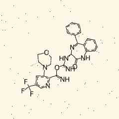 C[C@@H]1COCCN1c1cc(C(F)(F)F)cnc1C(=N)OC(=N)N[C@H]1N=C(c2ccccc2)c2ccccc2NC1=O